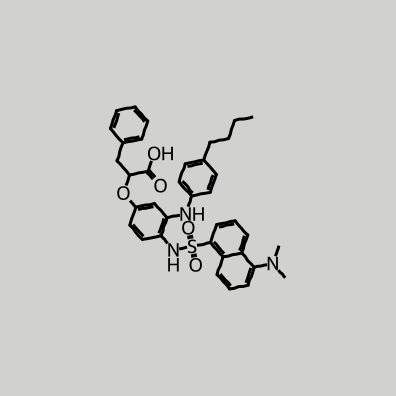 CCCCc1ccc(Nc2cc(OC(Cc3ccccc3)C(=O)O)ccc2NS(=O)(=O)c2cccc3c(N(C)C)cccc23)cc1